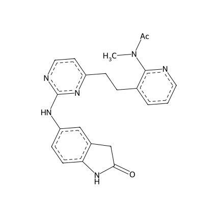 CC(=O)N(C)c1ncccc1CCc1ccnc(Nc2ccc3c(c2)CC(=O)N3)n1